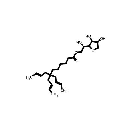 CC=CCC(CC=CC)(CC=CC)CCCCCC(=O)OC[C@@H](O)C1OCC(O)C1O